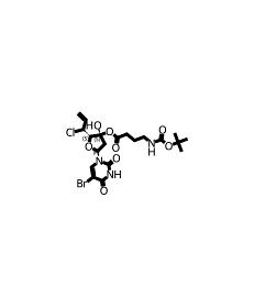 C=CC(Cl)[C@H]1O[C@@H](n2cc(Br)c(=O)[nH]c2=O)C[C@]1(O)OC(=O)CCCNC(=O)OC(C)(C)C